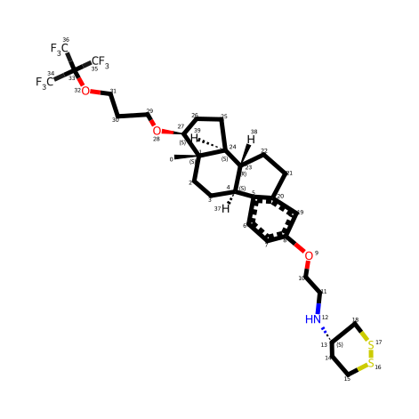 C[C@]12CC[C@@H]3c4ccc(OCCN[C@H]5CCSSC5)cc4CC[C@H]3[C@@H]1CC[C@@H]2OCCCOC(C(F)(F)F)(C(F)(F)F)C(F)(F)F